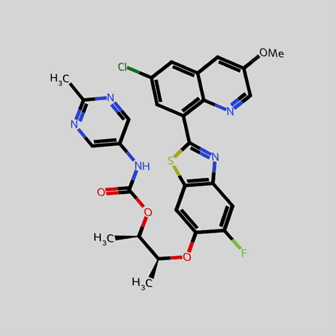 COc1cnc2c(-c3nc4cc(F)c(O[C@@H](C)[C@@H](C)OC(=O)Nc5cnc(C)nc5)cc4s3)cc(Cl)cc2c1